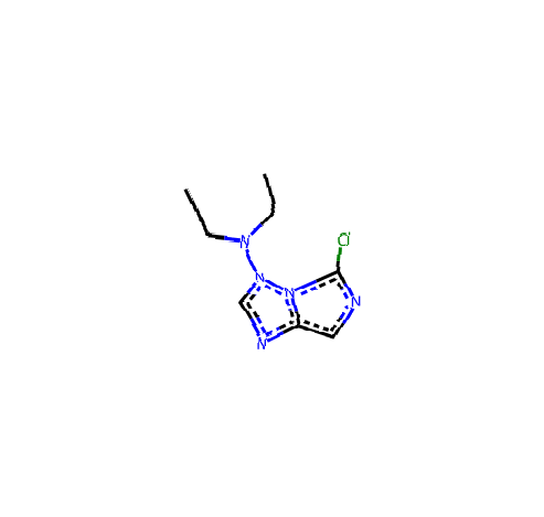 CCN(CC)n1cnc2cnc(Cl)n21